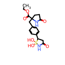 CCOC(=O)C1(Cc2ccc(C3CC(=O)NS3(O)O)cc2)CCC(=O)N1